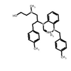 Cc1ccc(CC(CN(C)CCO)N(C=N)c2ccccc2N(C)Cc2ccc(C)cc2)cc1